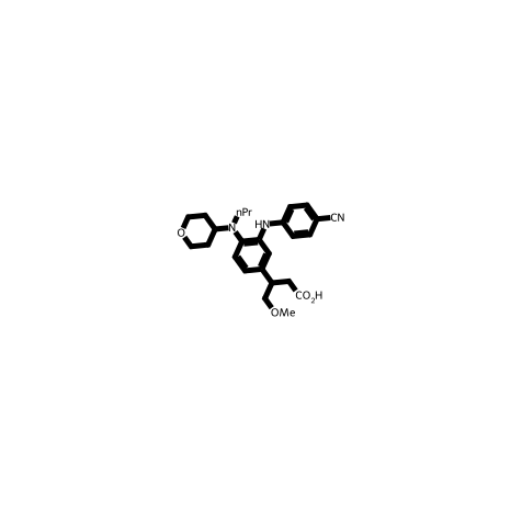 CCCN(c1ccc(C(COC)CC(=O)O)cc1Nc1ccc(C#N)cc1)C1CCOCC1